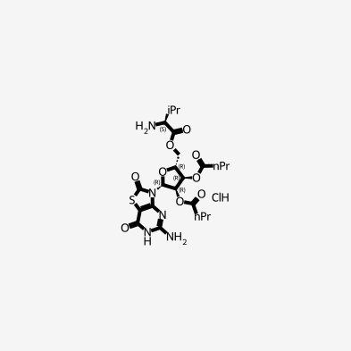 CCCC(=O)O[C@@H]1[C@H](OC(=O)CCC)[C@@H](COC(=O)[C@@H](N)C(C)C)O[C@H]1n1c(=O)sc2c(=O)[nH]c(N)nc21.Cl